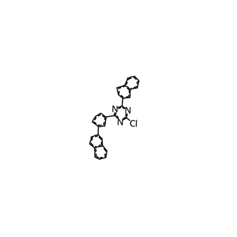 Clc1nc(-c2cccc(-c3ccc4ccccc4c3)c2)nc(-c2ccc3ccccc3c2)n1